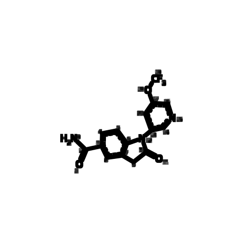 NC(=O)c1ccc2c(c1)CC(=O)N2c1cncc(OC(F)(F)F)c1